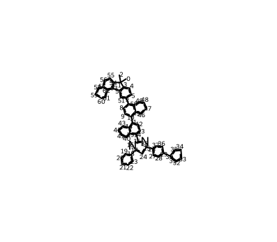 CC1(C)c2ccc(-c3ccc(-c4ccc(-c5nc(-c6ccccc6)cc(-c6ccc(-c7ccccc7)cc6)n5)c5ccccc45)c4ccccc34)cc2-c2c1ccc1ccccc21